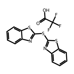 O=C(O)C(F)(F)F.c1ccc2sc(Sc3nc4ccccc4s3)nc2c1